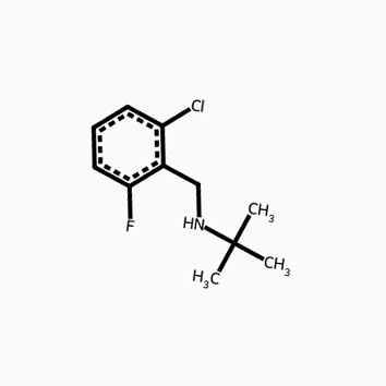 CC(C)(C)NCc1c(F)cccc1Cl